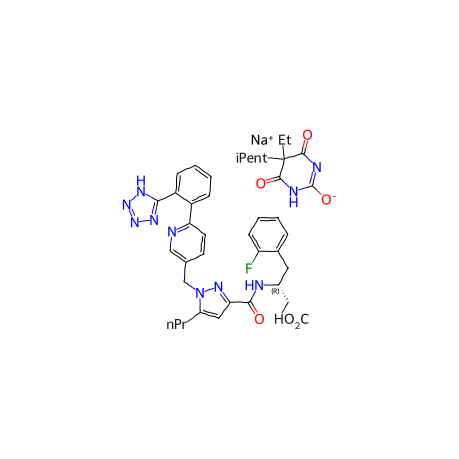 CCCC(C)C1(CC)C(=O)N=C([O-])NC1=O.CCCc1cc(C(=O)N[C@@H](CC(=O)O)Cc2ccccc2F)nn1Cc1ccc(-c2ccccc2-c2nnn[nH]2)nc1.[Na+]